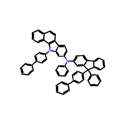 c1ccc(-c2ccc(-n3c4cc(N(c5ccccc5)c5ccc6c(c5)C(c5ccccc5)(c5ccc(-c7ccccc7)cc5)c5ccccc5-6)ccc4c4ccc5ccccc5c43)cc2)cc1